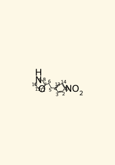 O=[N+]([O-])c1ccc(CCC2CNCCO2)cc1